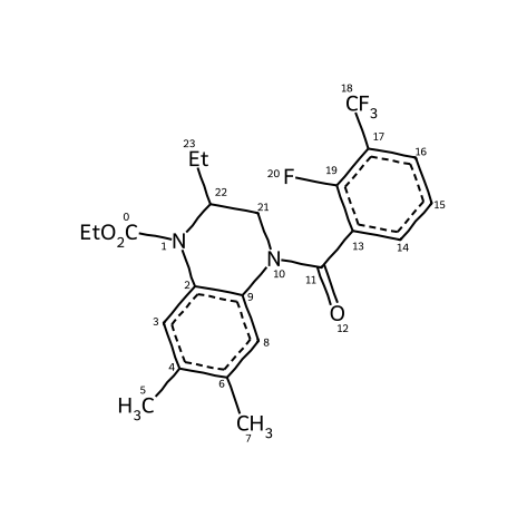 CCOC(=O)N1c2cc(C)c(C)cc2N(C(=O)c2cccc(C(F)(F)F)c2F)CC1CC